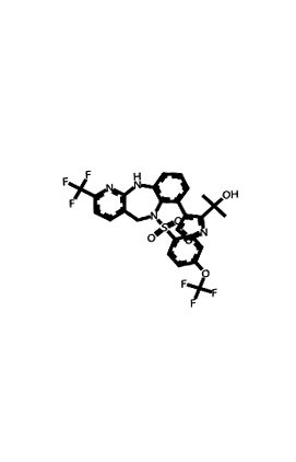 CC(C)(O)c1nocc1-c1cccc2c1N(S(=O)(=O)c1ccc(OC(F)(F)F)cc1)Cc1ccc(C(F)(F)F)nc1N2